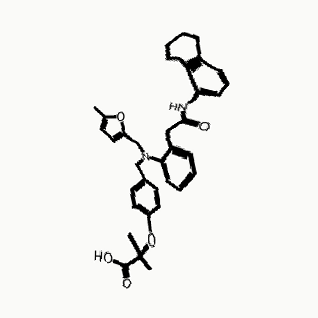 Cc1ccc(CN(Cc2ccc(OC(C)(C)C(=O)O)cc2)c2ccccc2CC(=O)Nc2cccc3c2CCCC3)o1